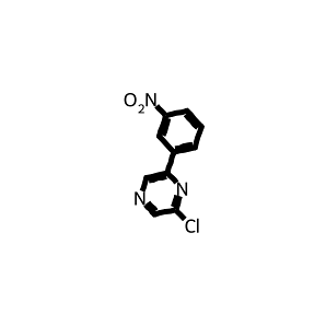 O=[N+]([O-])c1cccc(-c2cncc(Cl)n2)c1